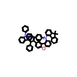 CC1(C)C2=C(CCC=C2)c2c(N(c3c#cc(-c4ccccc4)cc3)c3cccc4oc5ccc(-c6ccc7c(c6-c6ccccc6)c6ccccc6n7-c6ccccc6)cc5c34)cccc21